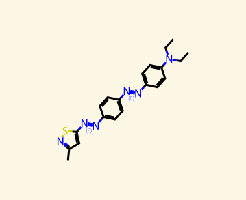 CCN(CC)c1ccc(/N=N/c2ccc(/N=N/c3cc(C)ns3)cc2)cc1